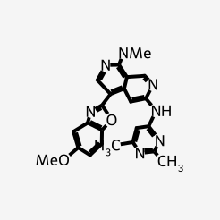 CNc1ncc(-c2nc3cc(OC)ccc3o2)c2cc(Nc3cc(C)nc(C)n3)ncc12